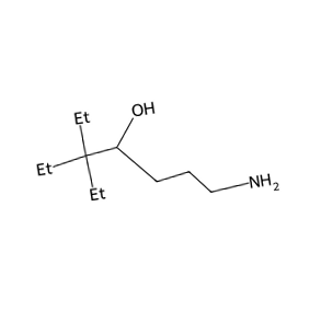 CCC(CC)(CC)C(O)CCCN